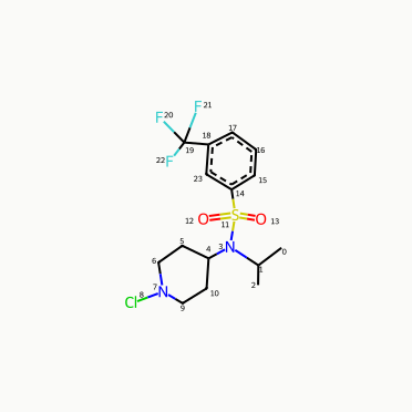 CC(C)N(C1CCN(Cl)CC1)S(=O)(=O)c1cccc(C(F)(F)F)c1